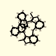 CC1=C(c2cccc3ccccc23)c2c(cccc2Cc2cccc3c2C(c2cccc4ccccc24)=C(C)[CH]3)[CH]1